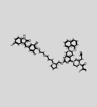 C=C(F)C(=O)N1CCN(c2nc(OCC3CCCN3CCCOCCOc3c(Br)cc(C=C4C(=O)Nc5ccc(I)cc54)cc3Br)nc3c2CCN(c2cccc4cccc(Cl)c24)C3)CC1CC#N